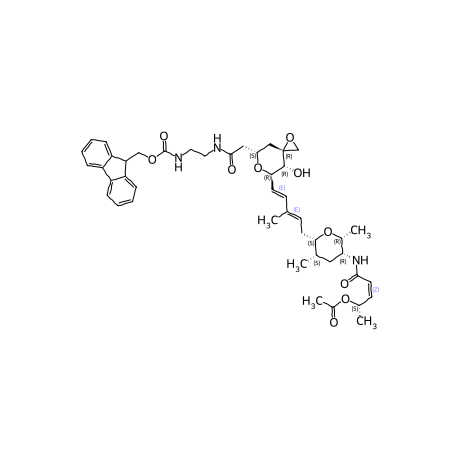 CC(=O)O[C@@H](C)/C=C\C(=O)N[C@@H]1C[C@H](C)[C@H](C/C=C(C)/C=C/[C@H]2O[C@H](CC(=O)NCCNC(=O)OCC3c4ccccc4-c4ccccc43)C[C@@]3(CO3)[C@@H]2O)O[C@@H]1C